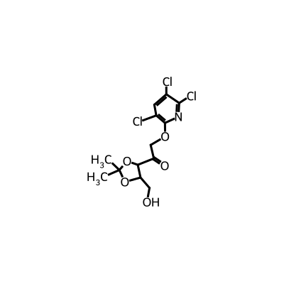 CC1(C)OC(CO)C(C(=O)COc2nc(Cl)c(Cl)cc2Cl)O1